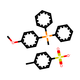 COc1ccc([P+](C)(c2ccccc2)c2ccccc2)cc1.Cc1ccc(S(=O)(=O)[O-])cc1